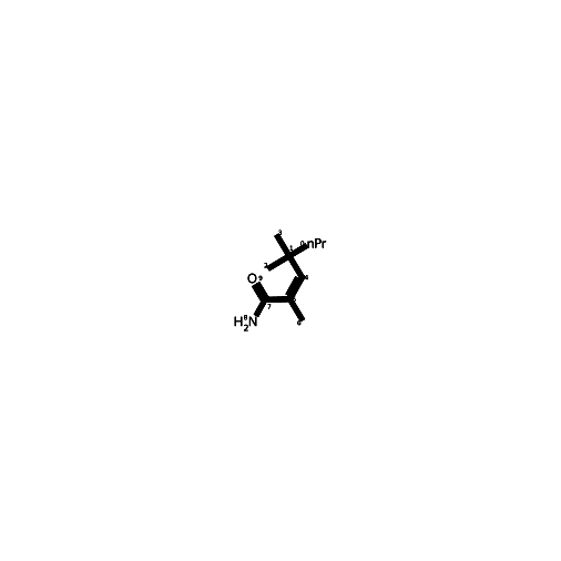 CCCC(C)(C)C=C(C)C(N)=O